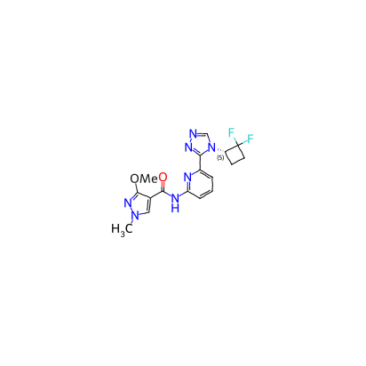 COc1nn(C)cc1C(=O)Nc1cccc(-c2nncn2[C@H]2CCC2(F)F)n1